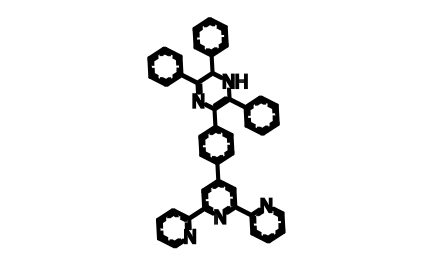 c1ccc(C2=NC(c3ccc(-c4cc(-c5ccccn5)nc(-c5ccccn5)c4)cc3)=C(c3ccccc3)NC2c2ccccc2)cc1